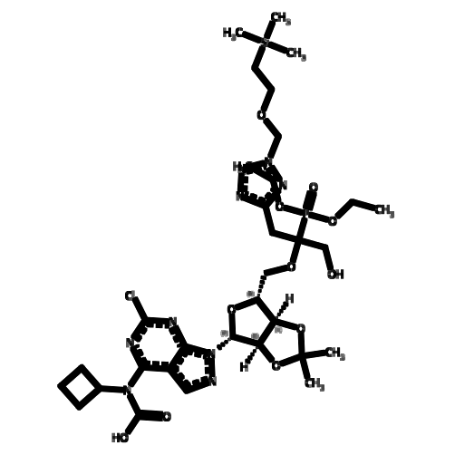 CCOP(=O)(OCC)C(CO)(Cc1nnn(COCC[Si](C)(C)C)n1)OC[C@H]1O[C@@H](n2ncc3c(N(C(=O)O)C4CCC4)nc(Cl)nc32)[C@@H]2OC(C)(C)O[C@@H]21